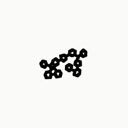 c1ccc(-c2ccccc2-c2ccc(N(c3ccccc3)c3cccc(-c4ccc(-c5ccc6c(-c7ccccc7)c7c8ccccc8c8ccccc8n7c6c5)cc4)c3)cc2)cc1